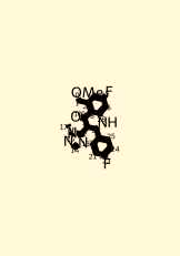 COCc1cc(F)cc2c1C(=O)C(c1ncnn1C)C(c1ccc(F)cc1)N2